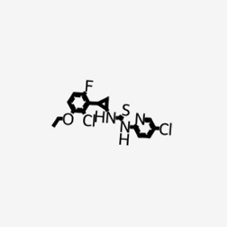 CCOc1ccc(F)c(C2CC2NC(=S)Nc2ccc(Cl)cn2)c1Cl